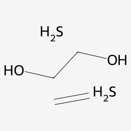 C=C.OCCO.S.S